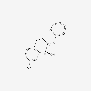 Oc1ccc2c(c1)[C@H](O)[C@@H](Oc1ccccc1)CC2